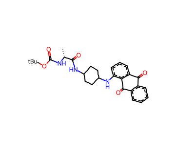 C[C@@H](NC(=O)OC(C)(C)C)C(=O)NC1CCC(Nc2cccc3c2C(=O)c2ccccc2C3=O)CC1